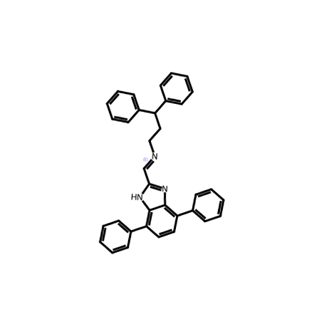 C(=N\CCC(c1ccccc1)c1ccccc1)/c1nc2c(-c3ccccc3)ccc(-c3ccccc3)c2[nH]1